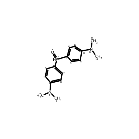 CN(C)c1ccc([PH](=O)c2ccc(N(C)C)cc2)cc1